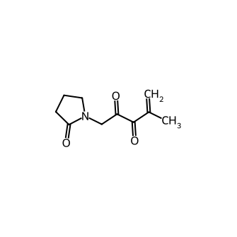 C=C(C)C(=O)C(=O)CN1CCCC1=O